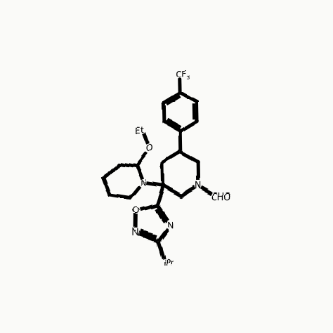 CCOC1CCCCN1C1(c2nc(C(C)C)no2)CC(c2ccc(C(F)(F)F)cc2)CN(C=O)C1